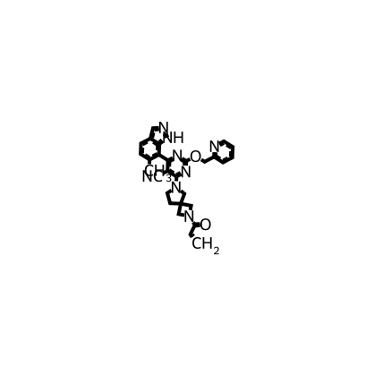 C=CC(=O)N1CC2(CCN(c3nc(OCc4ccccn4)nc(-c4c(C)ccc5cn[nH]c45)c3C#N)C2)C1